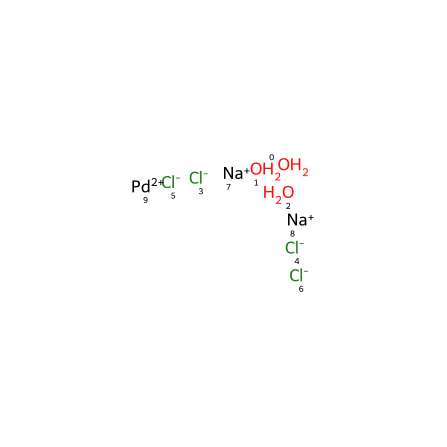 O.O.O.[Cl-].[Cl-].[Cl-].[Cl-].[Na+].[Na+].[Pd+2]